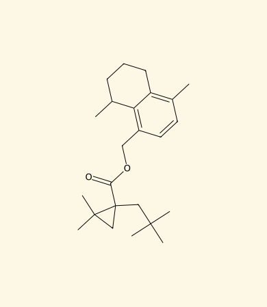 Cc1ccc(COC(=O)C2(CC(C)(C)C)CC2(C)C)c2c1CCCC2C